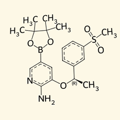 C[C@@H](Oc1cc(B2OC(C)(C)C(C)(C)O2)cnc1N)c1cccc(S(C)(=O)=O)c1